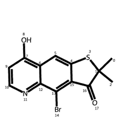 CC1(C)Sc2cc3c(O)ccnc3c(Br)c2C1=O